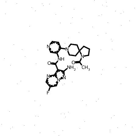 CC(=O)N1CCCC12CCN(c1ccncc1NC(=O)c1c(N)nn3cc(F)cnc13)CC2